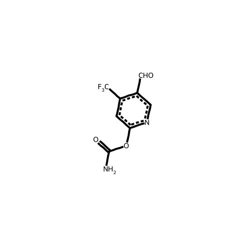 NC(=O)Oc1cc(C(F)(F)F)c(C=O)cn1